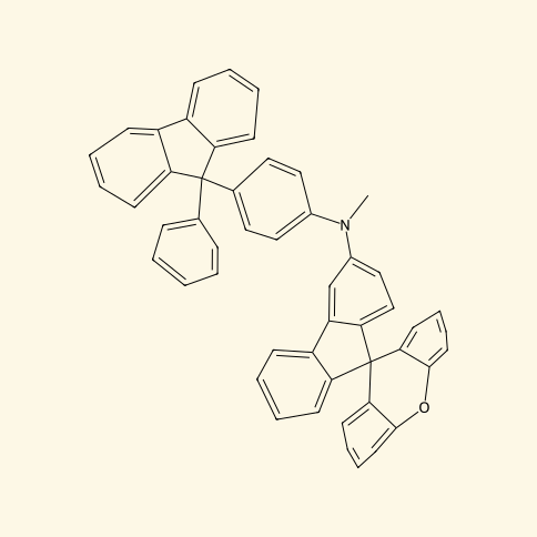 CN(c1ccc(C2(c3ccccc3)c3ccccc3-c3ccccc32)cc1)c1ccc2c(c1)-c1ccccc1C21c2ccccc2Oc2ccccc21